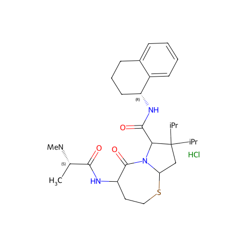 CN[C@@H](C)C(=O)NC1CCSC2CC(C(C)C)(C(C)C)C(C(=O)N[C@@H]3CCCc4ccccc43)N2C1=O.Cl